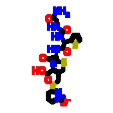 NC(=O)CNC(=O)NC(C(=O)N[C@H]1C(=O)N2C(C(=O)O)=C(CSc3ccc[n+]([O-])n3)CSC12)c1cccs1